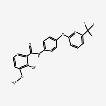 COc1ccnc(C(=O)Nc2ccc(Oc3cccc(C(F)(F)F)n3)cc2)c1O